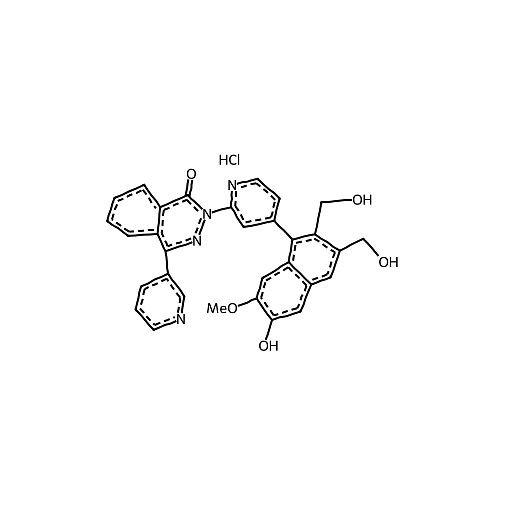 COc1cc2c(-c3ccnc(-n4nc(-c5cccnc5)c5ccccc5c4=O)c3)c(CO)c(CO)cc2cc1O.Cl